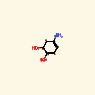 NC1=CC=C(O)C(O)C1